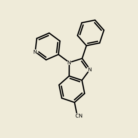 N#Cc1ccc2c(c1)nc(-c1ccccc1)n2-c1cccnc1